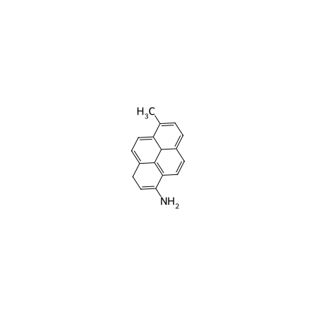 CC1=CC=C2C=CC3=C4C(=CC=C1C24)CC=C3N